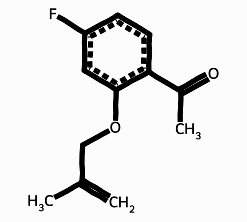 C=C(C)COc1cc(F)ccc1C(C)=O